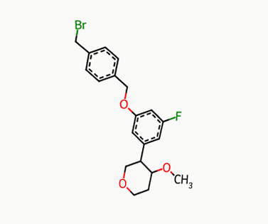 COC1CCOCC1c1cc(F)cc(OCc2ccc(CBr)cc2)c1